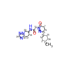 C[C@@H]1CC=C(c2ccc(=O)n(CC(=O)Nc3ccc4ncnn4c3)n2)CC1